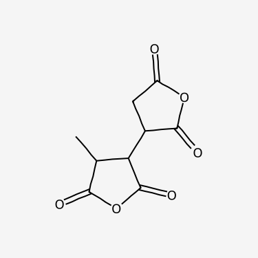 CC1C(=O)OC(=O)C1C1CC(=O)OC1=O